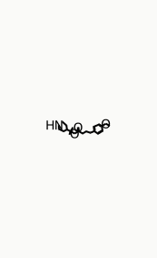 COc1ccc(CCCC(=O)OC(C)(C)C2CCNCC2)cc1